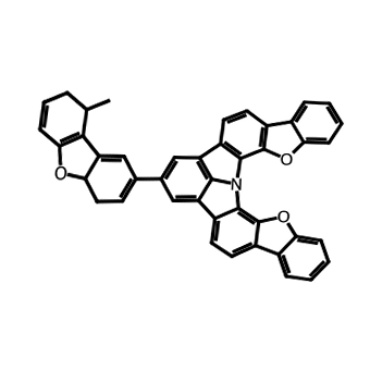 CC1CC=CC2=C1C1=CC(c3cc4c5ccc6c7ccccc7oc6c5n5c4c(c3)c3ccc4c6ccccc6oc4c35)=CCC1O2